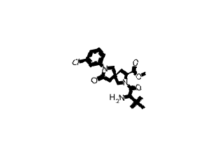 COC(=O)[C@@H]1C[C@]2(CC(=O)N(c3cccc(Cl)c3)C2)CN1C(=O)C(N)C(C)(C)C